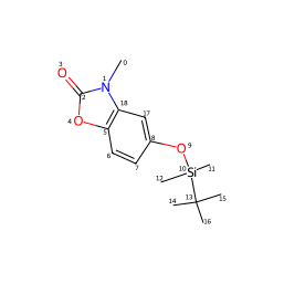 Cn1c(=O)oc2ccc(O[Si](C)(C)C(C)(C)C)cc21